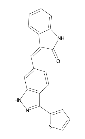 O=C1Nc2ccccc2C1=Cc1ccc2c(-c3cccs3)n[nH]c2c1